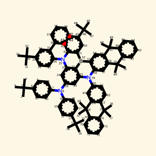 CC(C)(C)c1ccc(N(c2ccc(C(C)(C)C)cc2)c2cc3c4c(c2)N(c2ccc(C(C)(C)C)cc2-c2ccccc2)c2ccc(C(C)(C)C)cc2B4c2cc4c(cc2N3c2ccc3c(c2)C(C)(C)c2ccccc2C3(C)C)C(C)(C)c2ccccc2C4(C)C)cc1